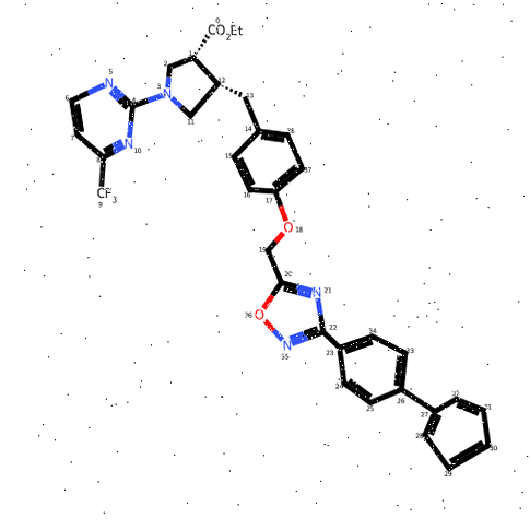 CCOC(=O)[C@H]1CN(c2nccc(C(F)(F)F)n2)C[C@H]1Cc1ccc(OCc2nc(-c3ccc(-c4ccccc4)cc3)no2)cc1